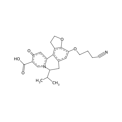 CC(C)C1Cc2cc(OCCCC#N)c3c(c2-c2cc(=O)c(C(=O)O)cn21)CCO3